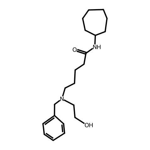 O=C(CCCCN(CCO)Cc1ccccc1)NC1CCCCCC1